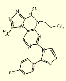 CC[C@@H]1c2nnc(C)n2-c2cnc(-n3ccnc3-c3ccc(F)cc3)nc2N1CCC(F)(F)F